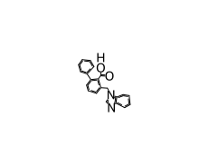 O=C(O)c1c(Cn2cnc3ccccc32)cccc1-c1ccccc1